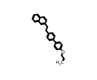 C=CCOc1ccc(-c2ccc(CCc3ccc4ccccc4c3)cc2)cc1